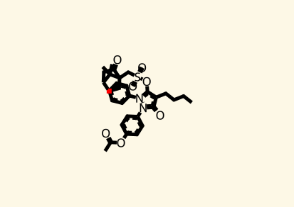 CCCCc1c(OS(=O)(=O)CC23CCC(CC2=O)C3(C)C)n(-c2ccccc2)n(-c2ccc(OC(C)=O)cc2)c1=O